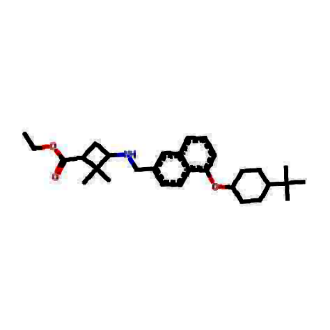 CCOC(=O)C1CC(NCc2ccc3c(OC4CCC(C(C)(C)C)CC4)cccc3c2)C1(C)C